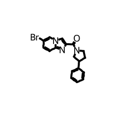 O=C(c1cn2cc(Br)ccc2n1)N1CCC(c2ccccc2)C1